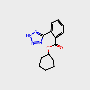 O=C(OC1CCCCC1)c1ccccc1-c1nn[nH]n1